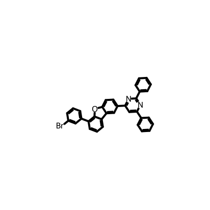 Brc1cccc(-c2cccc3c2oc2ccc(-c4cc(-c5ccccc5)nc(-c5ccccc5)n4)cc23)c1